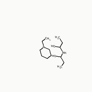 CCC(O)NC(O)CC.CCN1CCCCC1